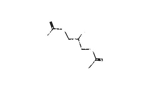 O=C(Cl)OCC(O)COC(=O)Cl